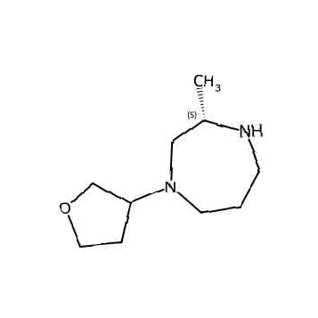 C[C@H]1CN(C2CCOC2)CCCN1